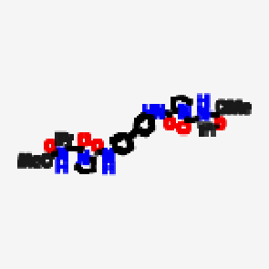 COC(=O)N[C@@H](C(=O)N1CCC[C@H]1C(=O)Nc1ccc(-c2ccc(NC(=O)[C@@H]3CCCN3C(=O)[C@H](NC(=O)OC)C(C)C)cc2)cc1)C(C)C